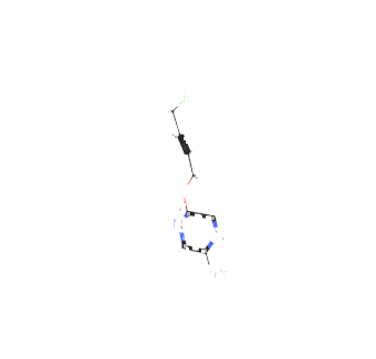 CC(C)c1cnc(OCC#CCF)cn1